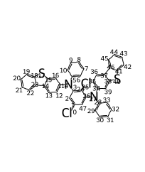 Clc1cc(N(c2ccccc2)c2ccc3c(c2)sc2ccccc23)c(Cl)c(N(c2ccccc2)c2ccc3c(c2)sc2ccccc23)c1